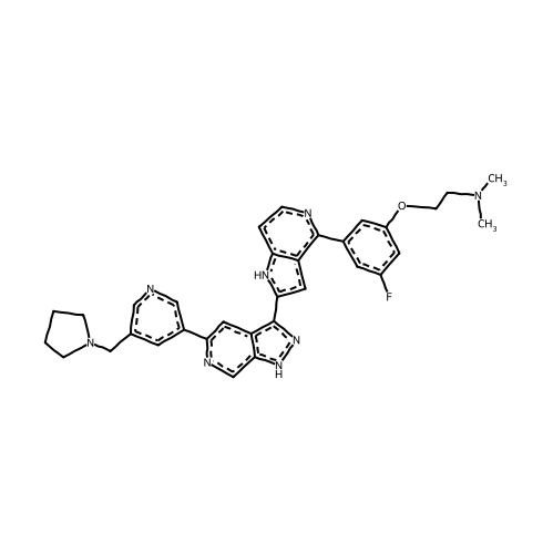 CN(C)CCOc1cc(F)cc(-c2nccc3[nH]c(-c4n[nH]c5cnc(-c6cncc(CN7CCCC7)c6)cc45)cc23)c1